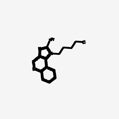 CCCc1nc2cnc3ccccc3c2n1CCCCCl